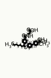 CCCCCCC(Oc1ccc(-c2ccc(C(C)(C)C)cc2)cc1)c1ccc(C(=O)NCCC(=O)O)cc1